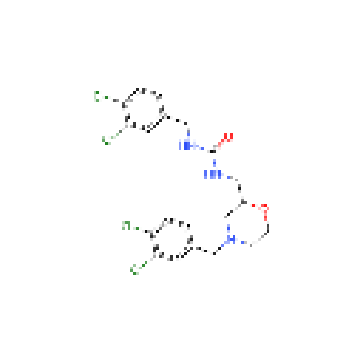 O=C(NCc1ccc(Cl)c(Cl)c1)NCC1CN(Cc2ccc(Cl)c(Cl)c2)CCO1